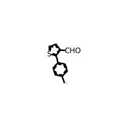 [CH2]c1ccc(-c2sccc2C=O)cc1